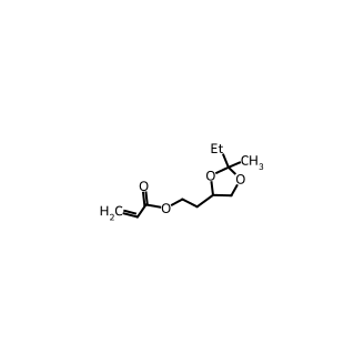 C=CC(=O)OCCC1COC(C)(CC)O1